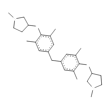 Cc1cc(Cc2cc(C)c(OC3CCN(C)C3)c(C)c2)cc(C)c1OC1CCN(C)C1